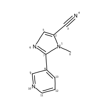 Cn1c(C#N)cnc1-c1[c]nccc1